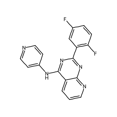 Fc1ccc(F)c(-c2nc(Nc3ccncc3)c3cccnc3n2)c1